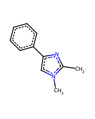 [CH2]c1nc(-c2ccccc2)cn1C